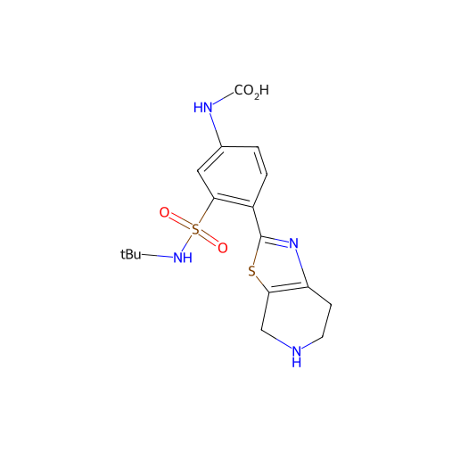 CC(C)(C)NS(=O)(=O)c1cc(NC(=O)O)ccc1-c1nc2c(s1)CNCC2